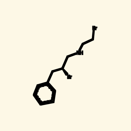 BrCCNC[C@@H](Br)Cc1ccccc1